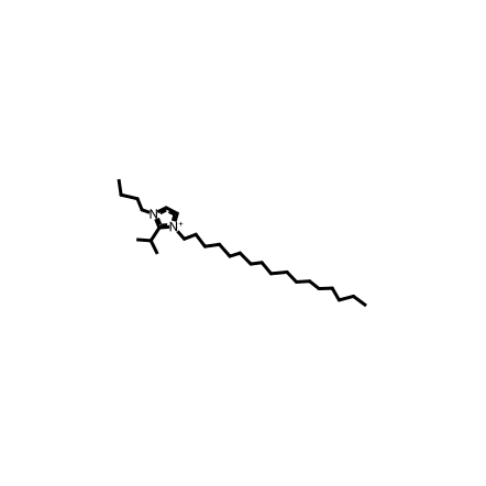 CCCCCCCCCCCCCCCCC[n+]1ccn(CCCC)c1C(C)C